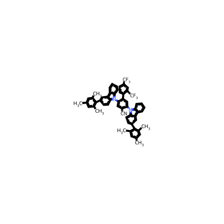 Cc1cc(C)c(-c2ccc3c(c2)c2ccccc2n3-c2cc(-c3ccc(C(F)(F)F)cc3C(F)(F)F)c(-n3c4ccccc4c4cc(-c5c(C)cc(C)cc5C)ccc43)cc2C#N)c(C)c1